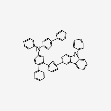 c1ccc(-c2ccc(N(c3ccccc3)c3ccc(-c4ccccc4)c(-c4cccc(-c5ccc6c(c5)c5ccccc5n6-c5ccccc5)c4)c3)cc2)cc1